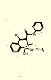 CN1C(C(=O)Nc2ccccn2)=C(O)c2ccccc2S1(O)O.[MgH2]